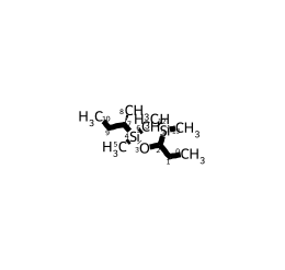 CCC(O[Si](C)(C)[C@@H](C)CC)[SiH](C)C